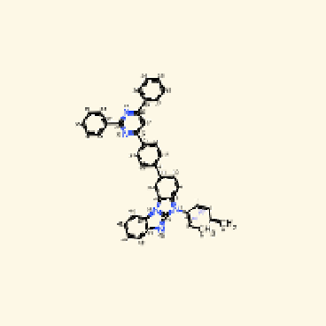 C=C/C=C\C(=C/C)n1c2ccc(-c3ccc(-c4cc(-c5ccccc5)nc(-c5ccccc5)n4)cc3)cc2n2c3ccccc3nc12